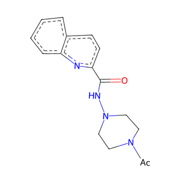 CC(=O)N1CCN(NC(=O)c2ccc3ccccc3n2)CC1